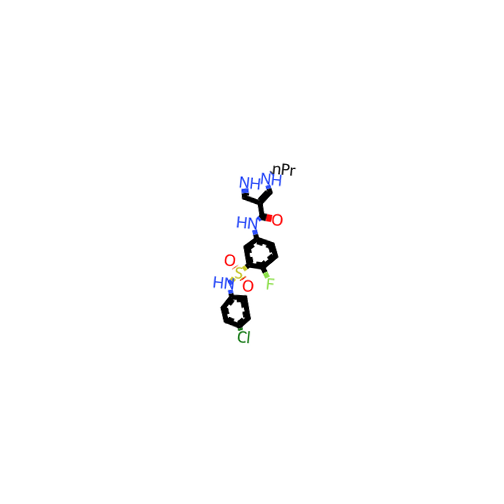 CCCN/C=C(\C=N)C(=O)Nc1ccc(F)c(S(=O)(=O)Nc2ccc(Cl)cc2)c1